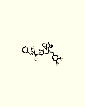 CN1C(=O)N(Cc2ccc(F)c(F)c2)Cc2cc(C(=O)NCc3ccccc3)sc21